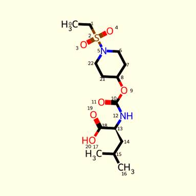 CCS(=O)(=O)N1CCC(OC(=O)N[C@@H](CC(C)C)C(=O)O)CC1